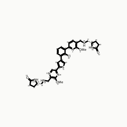 COc1nc(-c2cccc(-c3csc(-c4cnc(CNC[C@@H]5CCC(=O)N5)c(OC)n4)c3)c2Cl)ccc1CNC[C@@H]1CCC(=O)N1